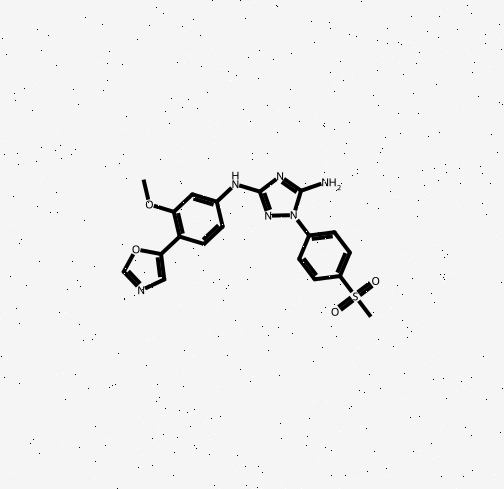 COc1cc(Nc2nc(N)n(-c3ccc(S(C)(=O)=O)cc3)n2)ccc1-c1cnco1